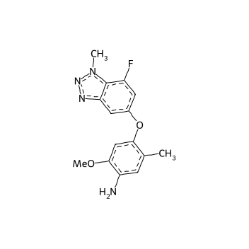 COc1cc(Oc2cc(F)c3c(c2)nnn3C)c(C)cc1N